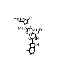 CBCC1C[C@@H](C[C@H](NC(=O)[C@H](CC(C)C)NC(=O)c2cc3c(C)cccc3[nH]2)C(=O)OC)C(=O)N1